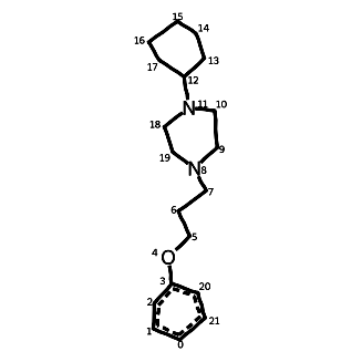 c1ccc(OCCCN2CCN(C3CCCCC3)CC2)cc1